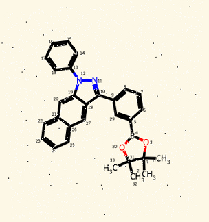 CC1(C)OB(c2cccc(-c3nn(-c4ccccc4)c4cc5ccccc5cc34)c2)OC1(C)C